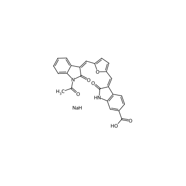 CC(=O)N1C(=O)C(=Cc2ccc(C=C3C(=O)Nc4cc(C(=O)O)ccc43)o2)c2ccccc21.[NaH]